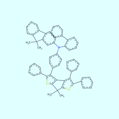 CC1(C)c2ccccc2-c2ccc(N(c3ccc(-c4c(-c5ccccc5)sc5c4-c4c(sc(-c6ccccc6)c4-c4ccccc4)C5(C)C)cc3)c3ccccc3-c3ccccc3)cc21